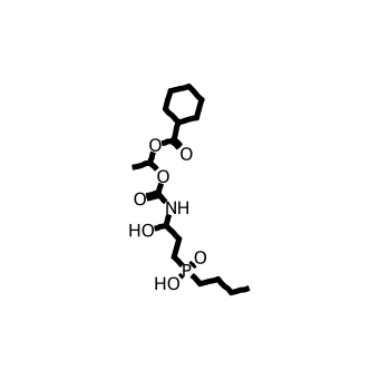 CCCCP(=O)(O)CCC(O)NC(=O)OC(C)OC(=O)C1CCCCC1